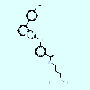 COc1ccc(-c2cccn3nc(Nc4cccc(C(=O)NCCCN(C)C)c4)nc23)cc1